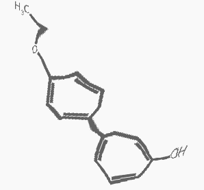 CCOc1ccc(-c2cccc(O)c2)cc1